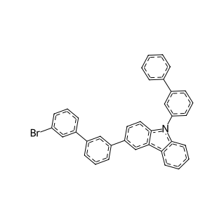 Brc1cccc(-c2cccc(-c3ccc4c(c3)c3ccccc3n4-c3cccc(-c4ccccc4)c3)c2)c1